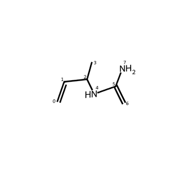 C=CC(C)NC(=C)N